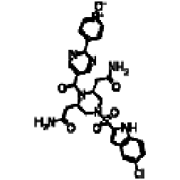 NC(=O)CC1CN(S(=O)(=O)c2cc3cc(Cl)ccc3[nH]2)CC(CC(N)=O)N1C(=O)c1cnc(-c2cc[n+]([O-])cc2)nc1